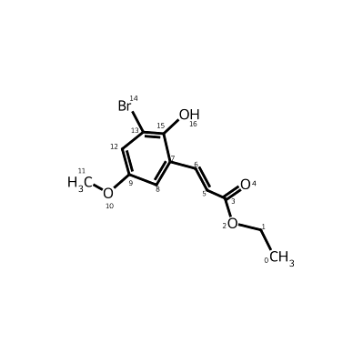 CCOC(=O)C=Cc1cc(OC)cc(Br)c1O